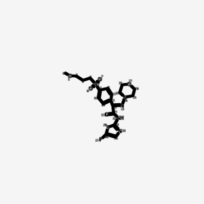 COCCCS(=O)(=O)c1ccc(/C(=N\N2CCOCC2)C(=O)Nc2ncc(F)s2)cc1